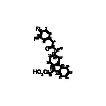 CN(C(=O)Cc1ccc(F)c(F)c1)[C@@H]1CCc2c(CC(=O)O)c3ccccc3n2C1